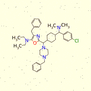 CCN(CC)c1oc(C(C2CCC(C(c3ccc(Cl)cc3)N(C)C)CC2)N2CCN(Cc3ccccc3)CC2)nc1Cc1ccccc1